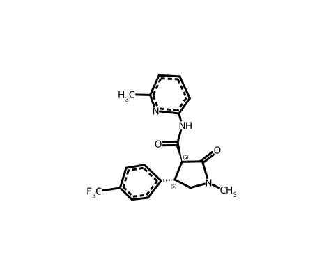 Cc1cccc(NC(=O)[C@H]2C(=O)N(C)C[C@@H]2c2ccc(C(F)(F)F)cc2)n1